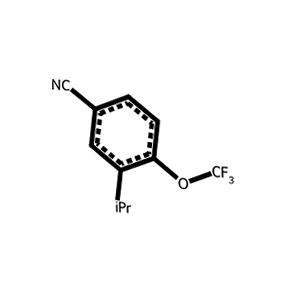 [CH2]C(C)c1cc(C#N)ccc1OC(F)(F)F